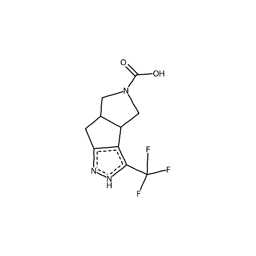 O=C(O)N1CC2Cc3n[nH]c(C(F)(F)F)c3C2C1